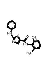 Cc1cccc(C)c1NC(=O)c1cnc(Nc2ccccc2)s1